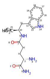 NC(=O)[C@@H](N)CCC(=O)N[C@H](Cc1c[nH]c2ccccc12)C(=O)O.[Ca]